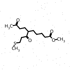 COC(=O)CCCCC(CCC(C)=O)C(=O)CCSC